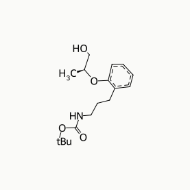 C[C@@H](CO)Oc1ccccc1CCCNC(=O)OC(C)(C)C